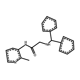 Cc1ncccc1NC(=O)CNC(c1ccccc1)c1ccccc1